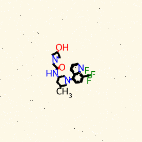 CC1CC(NC(=O)CN2CC(O)C2)CN(c2ccc(C(F)(F)F)c3ncccc23)C1